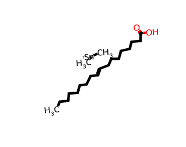 CCCCCCCCC=CCCCCCCCC(=O)O.[CH3][Sn][CH3]